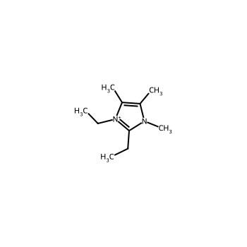 CCc1n(C)c(C)c(C)[n+]1CC